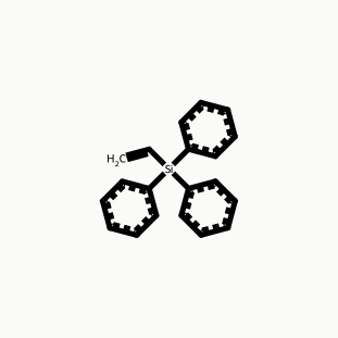 C=C[Si](c1ccccc1)(c1ccccc1)c1ccccc1